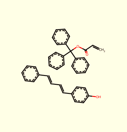 C=CC(=O)OC(c1ccccc1)(c1ccccc1)c1ccccc1.Oc1ccc(C=CC=Cc2ccccc2)cc1